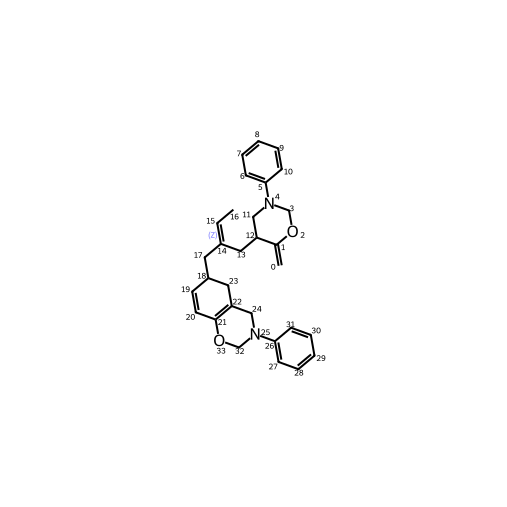 C=C1OCN(c2ccccc2)CC1C/C(=C\C)CC1C=CC2=C(C1)CN(c1ccccc1)CO2